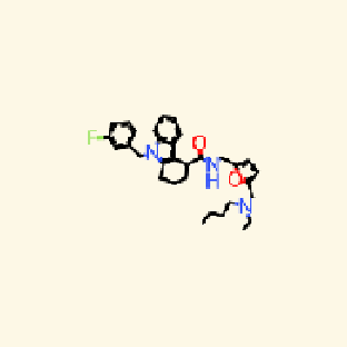 CCCCN(CC)Cc1ccc(CNC(=O)C2CCCc3c2c2ccccc2n3Cc2cccc(F)c2)o1